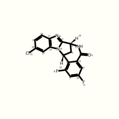 O=C1N[C@@H]2C[C@H](c3c(F)cc(F)cc31)n1c2nc2ccc(Cl)cc21